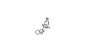 Brc1ccc2[nH]c(C3=NOC4(CCCCC4)C3)nc2c1